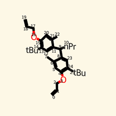 C=CCOc1cc(C)c(C(CCC)c2cc(C(C)(C)C)c(OCC=C)cc2C)cc1C(C)(C)C